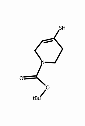 CC(C)(C)OC(=O)N1CC=C(S)CC1